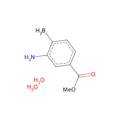 Bc1ccc(C(=O)OC)cc1N.O.O